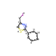 ICc1csc(-c2ccccc2)n1